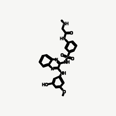 CNCC(=O)Nc1cccc(S(=O)(=O)Nc2nc3ccccc3nc2Nc2cc(O)cc(OC)c2)c1